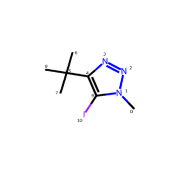 Cn1nnc(C(C)(C)C)c1I